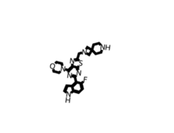 Fc1ccc2[nH]ccc2c1-c1nc(N2CCOCC2)c2nc(CN3CC4(CCNCC4)C3)sc2n1